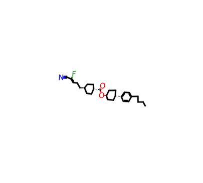 CCCCc1ccc([C@H]2CC[C@H](OC(=O)[C@H]3CC[C@H](CCC=C(F)C#N)CC3)CC2)cc1